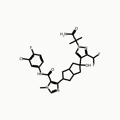 Cn1cnc(C2CC3CC(O)(c4cn(C(C)(C)C(N)=O)nc4C(F)F)CC3C2)c1C(=O)Nc1ccc(F)c(Cl)c1